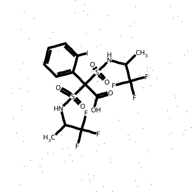 CC(NS(=O)(=O)C(C(=O)O)(c1ccccc1I)S(=O)(=O)NC(C)C(F)(F)F)C(F)(F)F